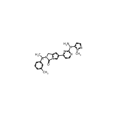 Cc1cccc([C@@H](C)N2Cc3cc(-c4ccnc(N(N)c5ccnn5C)n4)cn3C2=O)c1